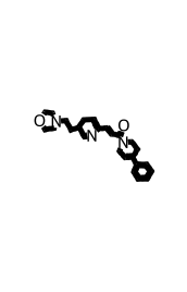 O=C(/C=C/C1=CCC(CCN2CCOCC2)C=N1)N1CC=C(c2ccccc2)CC1